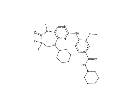 COc1cc(C(=O)NN2CCCCC2)ccc1Nc1ncc2c(n1)N(C1CCCCC1)CC(F)(F)C(=O)N2C